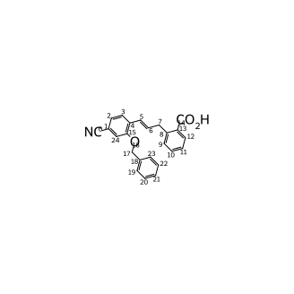 N#Cc1ccc(C=CCc2ccccc2C(=O)O)c(OCc2ccccc2)c1